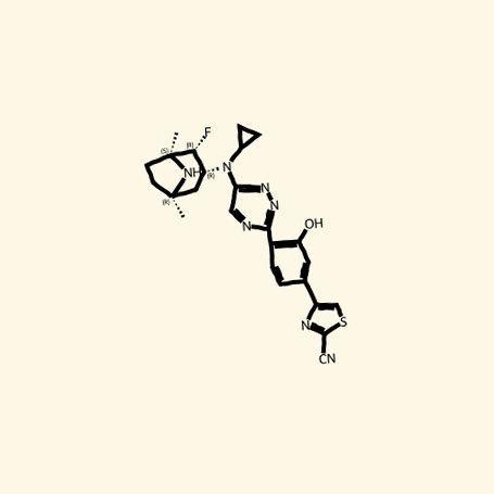 C[C@]12CC[C@](C)(N1)[C@H](F)[C@H](N(c1cnc(-c3ccc(-c4csc(C#N)n4)cc3O)nn1)C1CC1)C2